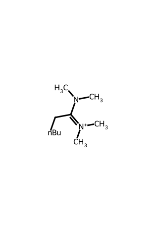 CCCCCC(N(C)C)=[N+](C)C